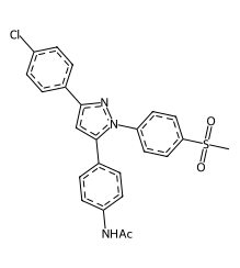 CC(=O)Nc1ccc(-c2cc(-c3ccc(Cl)cc3)nn2-c2ccc(S(C)(=O)=O)cc2)cc1